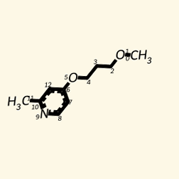 COCCCOc1ccnc(C)c1